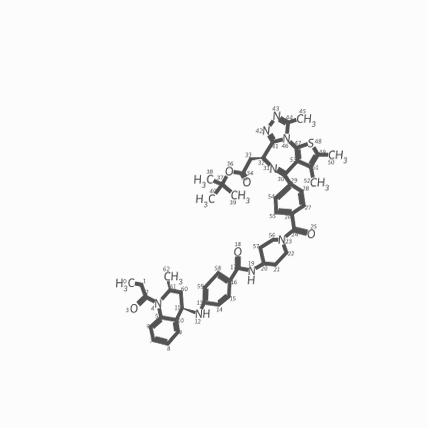 CCC(=O)N1c2ccccc2[C@H](Nc2ccc(C(=O)NC3CCN(C(=O)c4ccc(C5=N[C@@H](CC(=O)OC(C)(C)C)c6nnc(C)n6-c6sc(C)c(C)c65)cc4)CC3)cc2)C[C@@H]1C